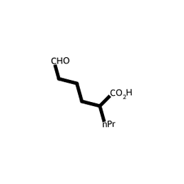 CCCC(CCCC=O)C(=O)O